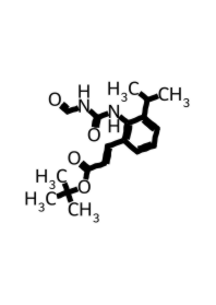 CC(C)c1cccc(/C=C/C(=O)OC(C)(C)C)c1NC(=O)NC=O